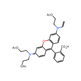 C=CN(CCOC(C)=O)c1ccc2c(-c3ccccc3C(=O)O)c3ccc(=[N+](CCOC(C)=O)CCOC(C)=O)cc-3oc2c1